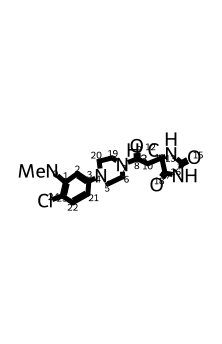 CNc1cc(N2CCN(C(=O)C[C@@]3(C)NC(=O)NC3=O)CC2)ccc1Cl